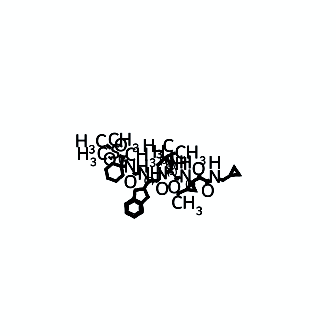 CCC1C[C@]1(NC(=O)[C@@H]1[C@@H]2[C@H](CN1C(=O)[C@@H](NC(=O)NC1([C@@H](C)S(=O)(=O)C(C)(C)C)CCCCC1)C1Cc3ccccc3C1)C2(C)C)C(=O)C(=O)NCC1CC1